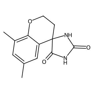 Cc1cc(C)c2c(c1)C1(CCO2)NC(=O)NC1=O